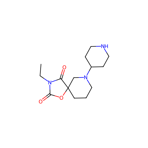 CCN1C(=O)OC2(CCCN(C3CCNCC3)C2)C1=O